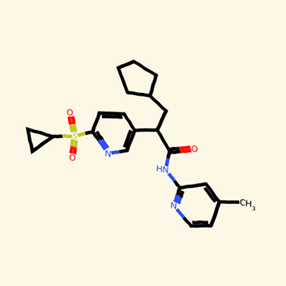 Cc1ccnc(NC(=O)C(CC2CCCC2)c2ccc(S(=O)(=O)C3CC3)nc2)c1